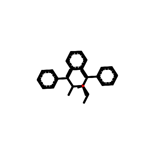 CCC(C)C(c1ccccc1)=c1ccccc1=C(c1ccccc1)C(C)CC